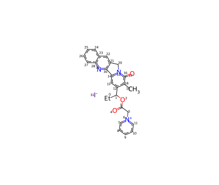 CCC(OC(=O)C[n+]1ccccc1)c1cc2n(c(=O)c1C)Cc1cc3ccccc3nc1-2.[I-]